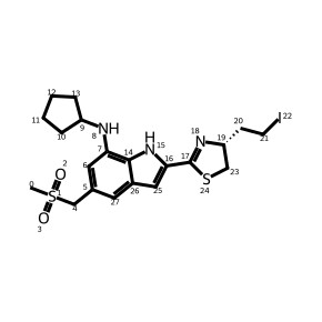 CS(=O)(=O)Cc1cc(NC2CCCC2)c2[nH]c(C3=N[C@H](CCI)CS3)cc2c1